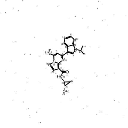 CNc1cc(-c2cn(C(C)C)c3ncccc23)nc2c(C(=O)N[C@H]3C[C@@H]3O)cnn12